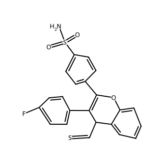 NS(=O)(=O)c1ccc(C2=C(c3ccc(F)cc3)C(C=S)c3ccccc3O2)cc1